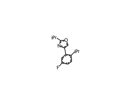 CC(C)c1nc(-c2cc(F)ccc2C(C)C)co1